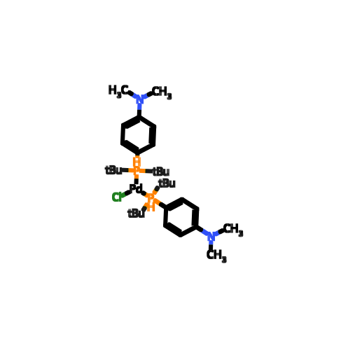 CN(C)c1ccc([PH]([Pd]([Cl])[PH](c2ccc(N(C)C)cc2)(C(C)(C)C)C(C)(C)C)(C(C)(C)C)C(C)(C)C)cc1